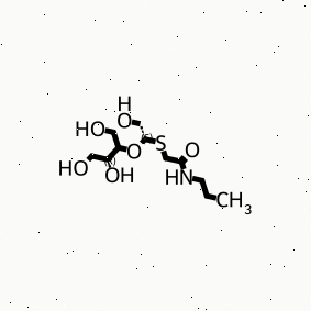 CCCNC(=O)CS[C@@H](CO)OC(CO)[C@H](O)CO